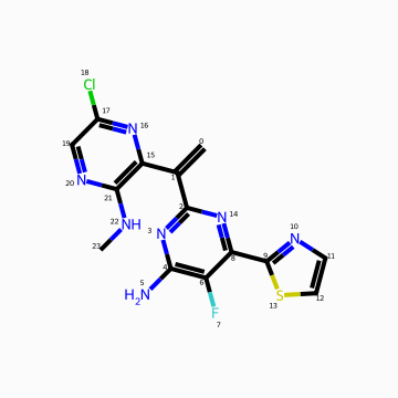 C=C(c1nc(N)c(F)c(-c2nccs2)n1)c1nc(Cl)cnc1NC